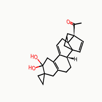 CC(=O)[C@]12C=CC3(CC1)[C@@H]1CCC4=C(CC(O)(O)C5(CC5)C4)C1=CC[C@@]32C